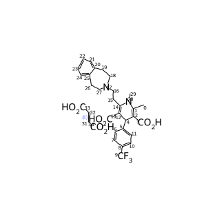 CC1=C(C(=O)O)C(c2ccc(C(F)(F)F)cc2)C(C(=O)O)=C(CCN2CCc3ccccc3CC2)N1C.O=C(O)/C=C/C(=O)O